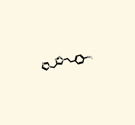 Nc1ccc(CCn2cc(Cn3ccnc3)nn2)cc1